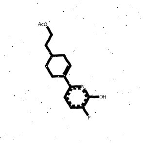 CC(=O)OCCC1CC=C(c2ccc(F)c(O)n2)CC1